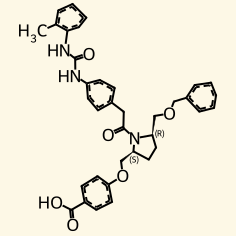 Cc1ccccc1NC(=O)Nc1ccc(CC(=O)N2[C@@H](COCc3ccccc3)CC[C@H]2COc2ccc(C(=O)O)cc2)cc1